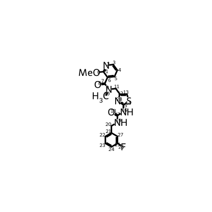 COc1ncccc1C(=O)N(C)Cc1csc(NC(=O)NCc2cccc(F)c2)n1